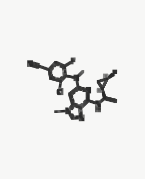 C=C(Nc1nc(N(C)c2c(F)cc(C#N)cc2Cl)cc2c1ncn2C)[C@H]1C[C@H]1F